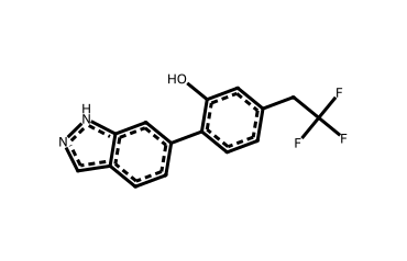 Oc1cc(CC(F)(F)F)ccc1-c1ccc2cn[nH]c2c1